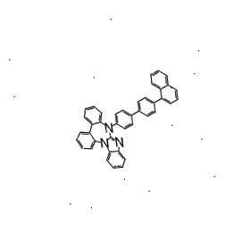 c1ccc2c(c1)-c1ccccc1-n1c(nc3ccccc31)N2c1ccc(-c2ccc(-c3cccc4ccccc34)cc2)cc1